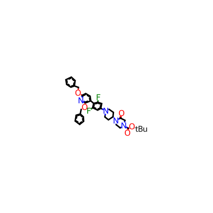 CC(C)(C)OC(=O)N1CCN(C2CCN(c3cc(F)c(-c4ccc(OCc5ccccc5)nc4OCc4ccccc4)c(F)c3)CC2)C(=O)C1